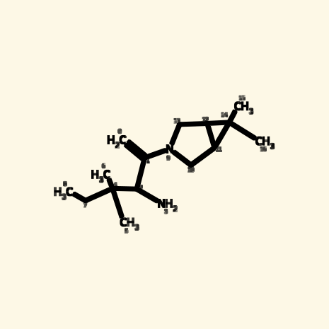 C=C(C(N)C(C)(C)CC)N1CC2C(C1)C2(C)C